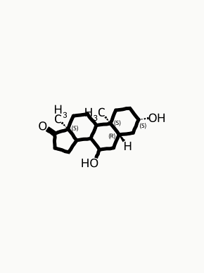 C[C@]12CCC3C(C(O)C[C@H]4C[C@@H](O)CC[C@]34C)C1CCC2=O